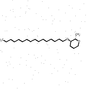 [CH2][C@@H]1OCCC[C@H]1OCCCCCCCCCCCCCCCC